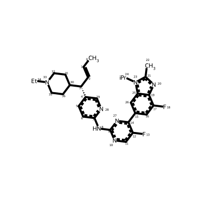 C/C=C/[C@H](c1ccc(Nc2ncc(F)c(-c3cc(F)c4nc(C)n(C(C)C)c4c3)n2)nc1)C1CCN(CC)CC1